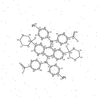 C=C(C)c1ccc(N(c2ccc(C(C)C)cc2)c2c3ccc(C4(C)CCCCC4)cc3c(N(c3ccc(C(=C)C)cc3)c3ccc(C(C)C)cc3)c3cc(C4(C)CCCCC4)ccc23)cc1